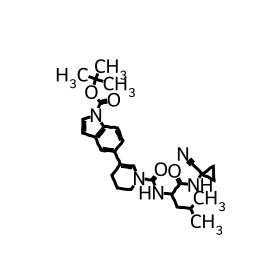 CC(C)CC(NC(=O)N1C=C(c2ccc3c(ccn3C(=O)OC(C)(C)C)c2)CCC1)C(=O)NC1(C#N)CC1